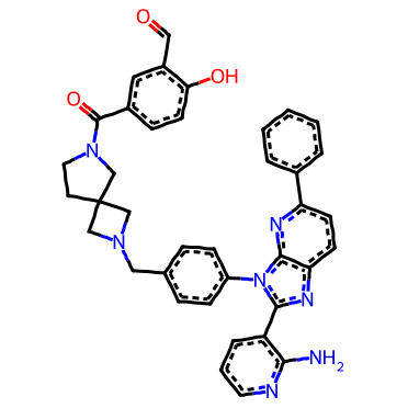 Nc1ncccc1-c1nc2ccc(-c3ccccc3)nc2n1-c1ccc(CN2CC3(CCN(C(=O)c4ccc(O)c(C=O)c4)C3)C2)cc1